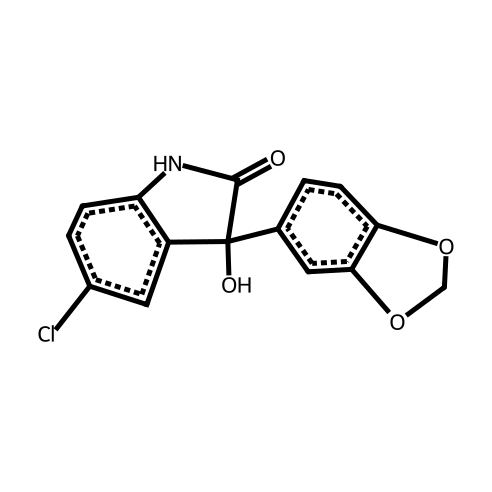 O=C1Nc2ccc(Cl)cc2C1(O)c1ccc2c(c1)OCO2